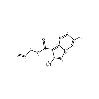 C=CCOC(=O)c1c(N)nn2cc(C)cnc12